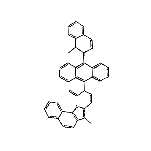 C=CC(/C=C\c1oc2c(ccc3ccccc32)c1C)c1c2ccccc2c(C2C=Cc3ccccc3C2C)c2ccccc12